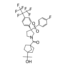 CC(C)(O)C12CCC(C(=O)N3CC[C@](c4ccc(C(F)(C(F)(F)F)C(F)(F)F)cc4)(S(=O)(=O)c4ccc(F)cc4)C3)(CC1)C2